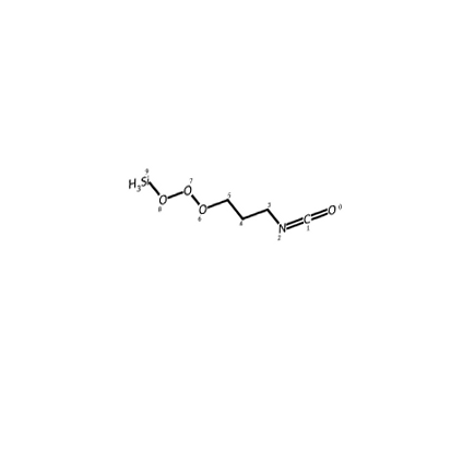 O=C=NCCCOOO[SiH3]